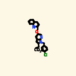 O=C(O)CCc1cc2cc(OCc3ccc4ccccc4n3)cnc2n1Cc1ccc(Cl)cc1